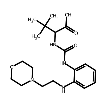 CC(=O)C(NC(=O)Nc1ccccc1NCCN1CCOCC1)C(C)(C)C